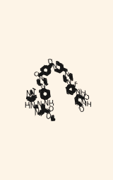 CCOC(=O)c1cnc(Nc2cnn(C)c2)nc1NC1CCC(N2CCN(C(=O)C3CCC(C(=O)N4CCC(CN5CCN(c6cccc(NC7CCC(=O)NC7=O)c6F)CC5)CC4)CC3)CC2)CC1